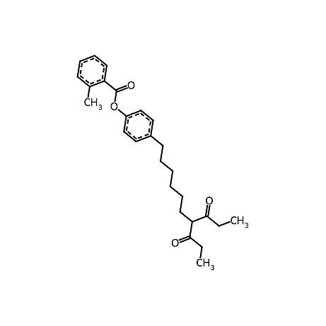 CCC(=O)C(CCCCCCc1ccc(OC(=O)c2ccccc2C)cc1)C(=O)CC